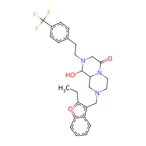 CCc1oc2ccccc2c1CN1CCN2C(=O)CN(CCc3ccc(C(F)(F)F)cc3)C(O)C2C1